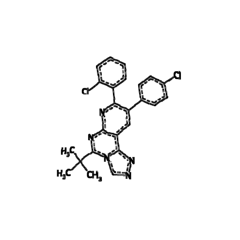 CC(C)(C)c1nc2nc(-c3ccccc3Cl)c(-c3ccc(Cl)cc3)cc2c2nncn12